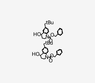 CC(C)(C)Cc1ccc2c(c1)C(O)CCN2C(=O)OCc1ccccc1.CC(C)(C)Cc1ccc2c(c1)C(O)CCN2C(=O)OCc1ccccc1